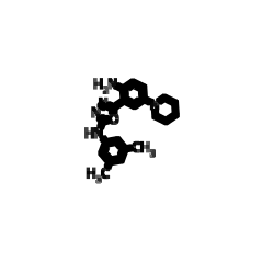 Cc1cc(C)cc(Nc2nnc(-c3cc(N4CCCCC4)ccc3N)o2)c1